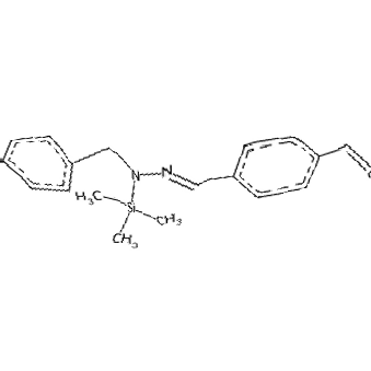 C[Si](C)(C)N(Cc1ccccc1)N=Cc1ccc(C=O)cc1